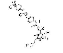 CCCC(=O)NC(C(=O)NCC(=O)Nc1ccc(COC(=O)Oc2ccc([N+](=O)[O-])cc2)cc1)C(C)C